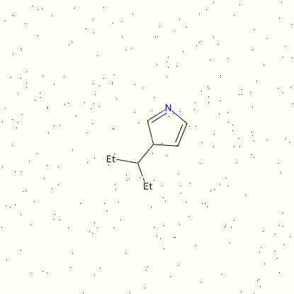 CCC(CC)C1C=CN=C1